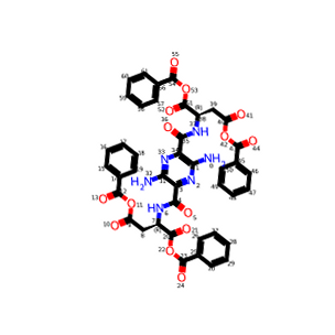 Nc1nc(C(=O)N[C@H](CC(=O)OC(=O)c2ccccc2)C(=O)OC(=O)c2ccccc2)c(N)nc1C(=O)N[C@H](CC(=O)OC(=O)c1ccccc1)C(=O)OC(=O)c1ccccc1